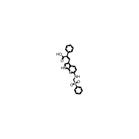 O=C(O)C(=Cc1c[nH]c2nc(NCS(=O)(=O)c3ccccc3)ccc12)c1ccccc1